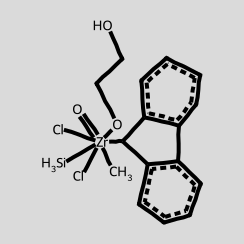 [CH3][Zr](=[O])([SiH3])([Cl])([Cl])([O]CCO)[CH]1c2ccccc2-c2ccccc21